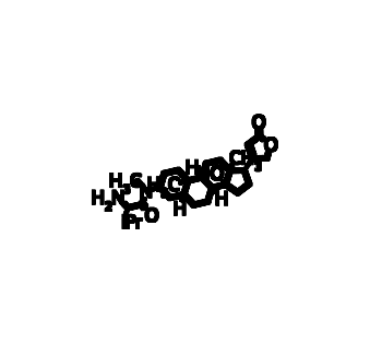 CC(C)[C@@H](N)C(=O)N(C)[C@H]1CC[C@@]2(C)[C@H](CC[C@@H]3[C@@H]2CC[C@]2(C)[C@@H](C4=CC(=O)OC4)CC[C@]32O)C1